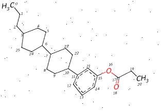 CCCC1CCC(C2CCC(c3cccc(OC(=O)CC)c3)CC2)CC1